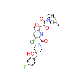 CN(C)C(=O)C(=O)c1occ2cc(Cl)c(C(=O)N3CCC(O)(Cc4ccc(F)cc4)CC3)nc12